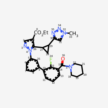 CCOC(=O)c1cnn(-c2cccc(-c3cccc(C(=O)N4CCCCC4)c3F)c2)c1C1CC1c1cn(C)nn1